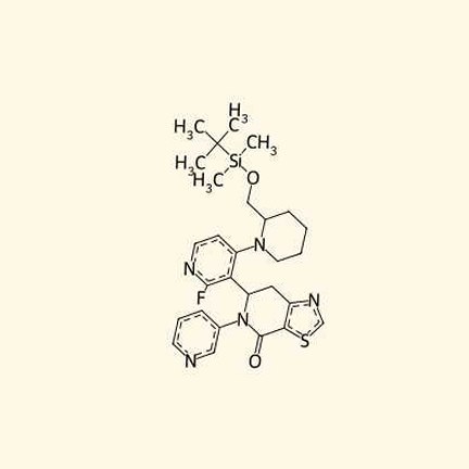 CC(C)(C)[Si](C)(C)OCC1CCCCN1c1ccnc(F)c1C1Cc2ncsc2C(=O)N1c1cccnc1